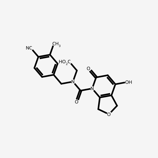 Cc1cc(CN(CC(=O)O)C(=O)n2c3c(c(O)cc2=O)COC3)ccc1C#N